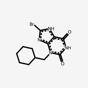 O=c1[nH]c(=O)n(CC2CCCCC2)c2nc(Br)[nH]c12